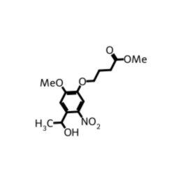 COC(=O)CCCOc1cc([N+](=O)[O-])c(C(C)O)cc1OC